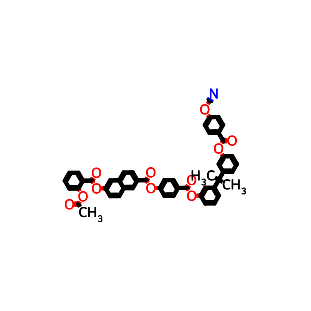 CC(=O)Oc1ccccc1C(=O)Oc1ccc2cc(C(=O)Oc3ccc(C(=O)Oc4cccc(C(C)(C)c5cccc(OC(=O)c6ccc(OC#N)cc6)c5)c4)cc3)ccc2c1